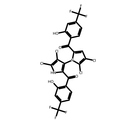 O=C(c1ccc(C(F)(F)F)cc1O)c1[nH]c(Cl)c(Cl)c1-n1c(C(=O)c2ccc(C(F)(F)F)cc2O)cc(Cl)c1Cl